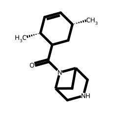 C[C@@H]1C=C[C@H](C)CC1C(=O)N1C2CNCC1C2